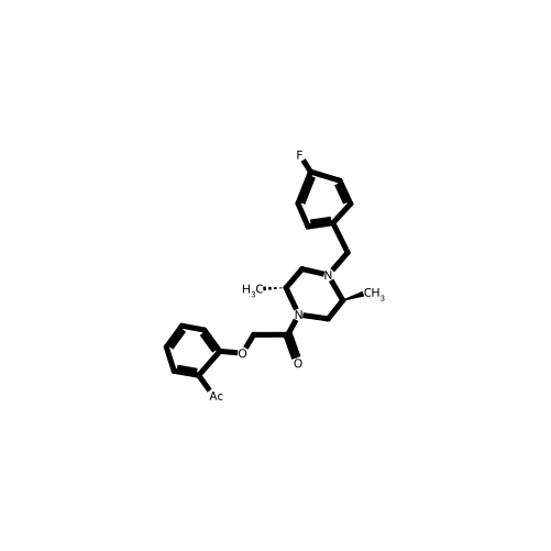 CC(=O)c1ccccc1OCC(=O)N1C[C@H](C)N(Cc2ccc(F)cc2)C[C@H]1C